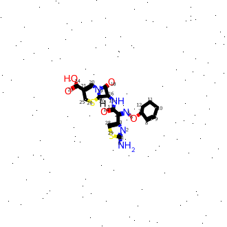 Nc1nc(C(=NOC2C=CCCC2)C(=O)NC2C(=O)N3C=C(C(=O)O)CS[C@H]23)cs1